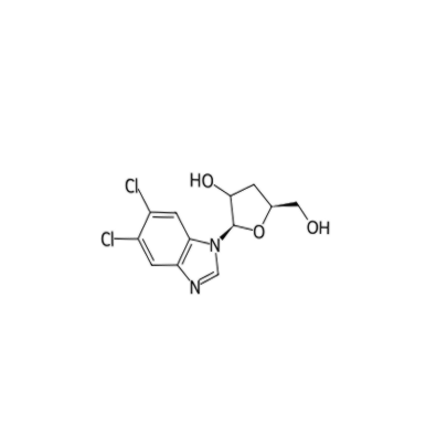 OC[C@@H]1CC(O)[C@H](n2cnc3cc(Cl)c(Cl)cc32)O1